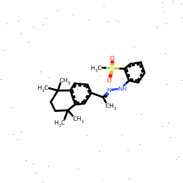 CC(=NNc1ccccc1S(C)(=O)=O)c1ccc2c(c1)C(C)(C)CCC2(C)C